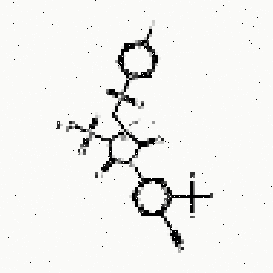 C[C@]1(CS(=O)(=O)c2ccc(F)cc2)C(=O)N(c2ccc(C#N)c(C(F)(F)F)c2)C(=O)N1S(C)(=O)=O